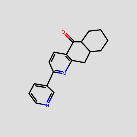 O=C1c2ccc(-c3cccnc3)nc2CC2CCCCC12